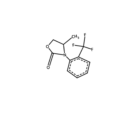 CC1COC(=O)N1c1ccccc1C(F)(F)F